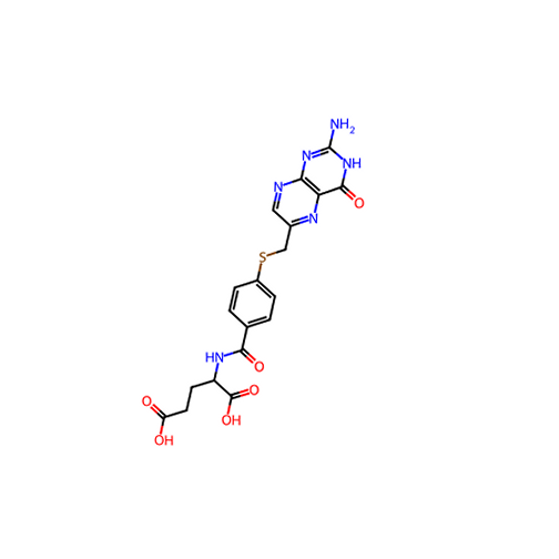 Nc1nc2ncc(CSc3ccc(C(=O)NC(CCC(=O)O)C(=O)O)cc3)nc2c(=O)[nH]1